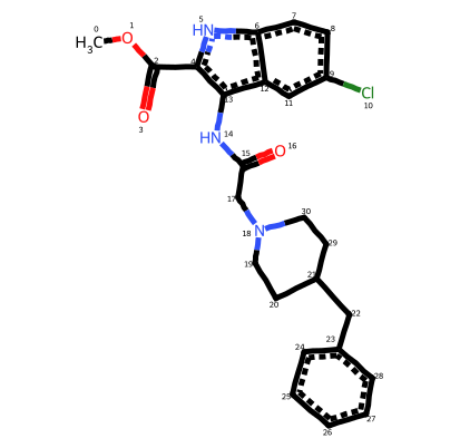 COC(=O)c1[nH]c2ccc(Cl)cc2c1NC(=O)CN1CCC(Cc2ccccc2)CC1